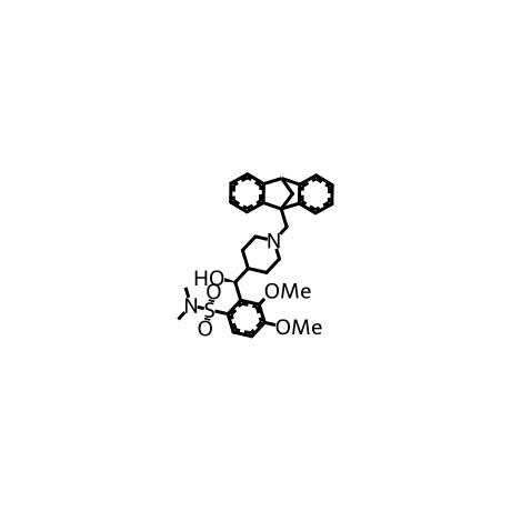 COc1ccc(S(=O)(=O)N(C)C)c([C@@H](O)C2CCN(CC34CC(c5ccccc53)c3ccccc34)CC2)c1OC